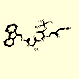 C[C@H](NC(=O)OCC1c2ccccc2-c2ccccc21)C(=O)N[C@@H](CCC(=O)C=[N+]=[N-])C(=O)OC(C)(C)C